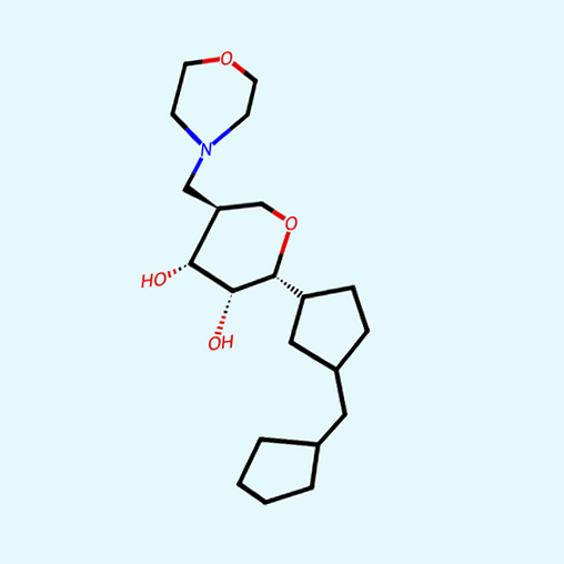 O[C@@H]1[C@@H](CN2CCOCC2)CO[C@H](C2CCC(CC3CCCC3)C2)[C@@H]1O